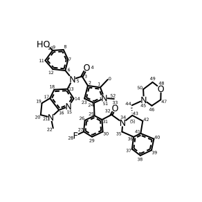 Cc1c(C(=O)N(c2ccc(O)cc2)c2cnc3c(c2)CCN3C)cc(-c2cc(F)ccc2C(=O)N2Cc3ccccc3C[C@H]2CN2CCOCC2)n1C